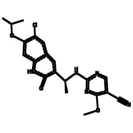 COc1nc(N[C@@H](C)c2cc3cc(Cl)c(OC(C)C)cc3[nH]c2=O)ncc1C#N